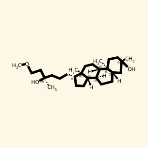 COCC[C@](C)(O)CCC[C@H]1CC[C@H]2[C@@H]3CC[C@H]4C[C@@](C)(O)CC[C@]4(C)[C@H]3CC[C@]12C